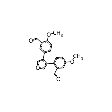 COc1ccc(-c2cocc2-c2ccc(OC)c(C=O)c2)c(C=O)c1